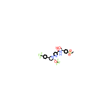 CCS(=O)(=O)c1ccc([C@H](CO)NC(=O)c2ccc(N3CC(c4ccc(C(F)(F)F)cc4)CC[C@H]3COC(F)(F)F)nc2)cc1